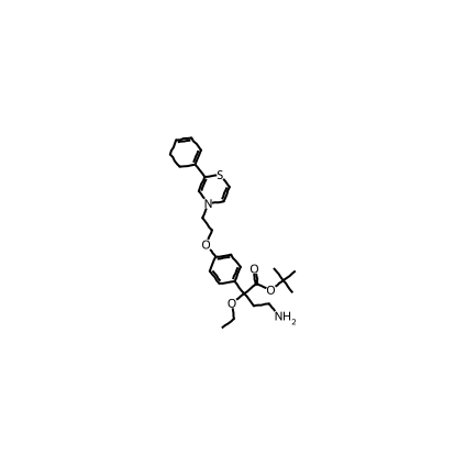 CCOC(CCN)(C(=O)OC(C)(C)C)c1ccc(OCCN2C=CSC(C3=CC=CCC3)=C2)cc1